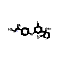 COC1(c2cc(F)cc(Oc3ccc(/C(C)=N/O)cc3)c2)CCOC1C